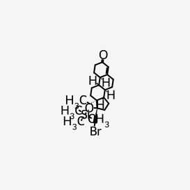 CC[C@]12CC[C@H]3[C@@H](CCC4=CC(=O)CC[C@@H]43)[C@@H]1CC[C@]2(C#CBr)O[Si](C)(C)C